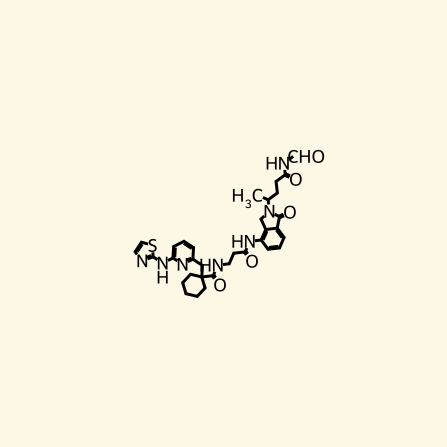 CC(CCC(=O)NC=O)N1Cc2c(NC(=O)CCNC(=O)C3(Cc4cccc(Nc5nccs5)n4)CCCCC3)cccc2C1=O